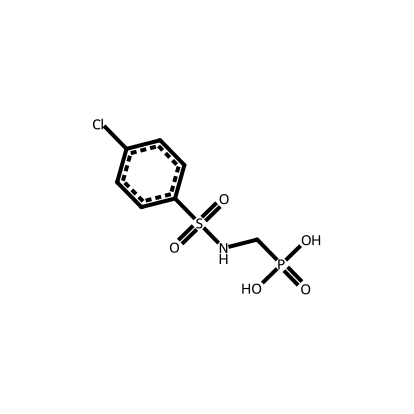 O=P(O)(O)CNS(=O)(=O)c1ccc(Cl)cc1